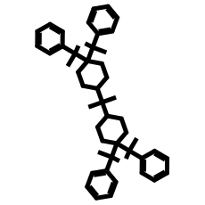 CC(C)(C1CCC(C(C)(C)c2ccccc2)(C(C)(C)c2ccccc2)CC1)C1CCC(C(C)(C)c2ccccc2)(C(C)(C)c2ccccc2)CC1